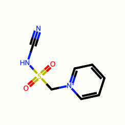 N#CNS(=O)(=O)C[n+]1ccccc1